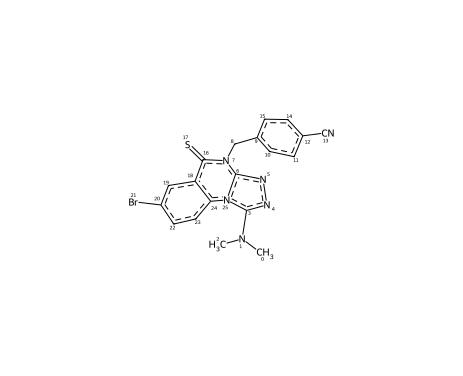 CN(C)c1nnc2n(Cc3ccc(C#N)cc3)c(=S)c3cc(Br)ccc3n12